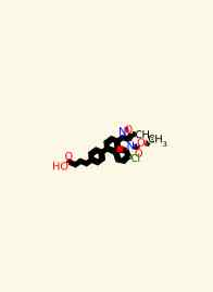 CCOC(=O)N(c1ccccc1Cl)c1c(-c2ccc(-c3ccc(CCCC(=O)O)cc3)cc2)noc1C